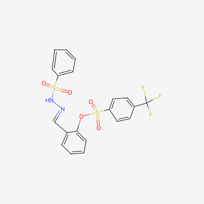 O=S(=O)(NN=Cc1ccccc1OS(=O)(=O)c1ccc(C(F)(F)F)cc1)c1ccccc1